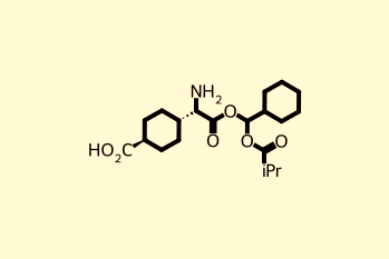 CC(C)C(=O)OC(OC(=O)C(N)[C@H]1CC[C@H](C(=O)O)CC1)C1CCCCC1